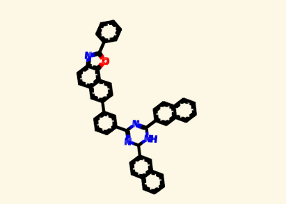 c1ccc(-c2nc3ccc4cc(-c5cccc(C6=NC(c7ccc8ccccc8c7)NC(c7ccc8ccccc8c7)=N6)c5)ccc4c3o2)cc1